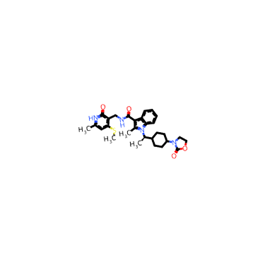 CSc1cc(C)[nH]c(=O)c1CNC(=O)c1c(C)n([C@H](C)C2CCC(N3CCOC3=O)CC2)c2ccccc12